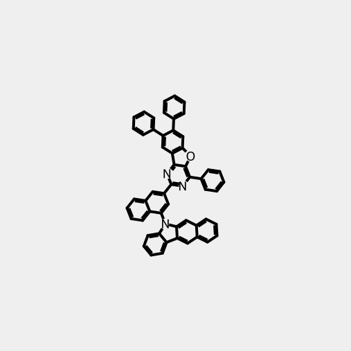 c1ccc(-c2cc3oc4c(-c5ccccc5)nc(-c5cc(-n6c7ccccc7c7cc8ccccc8cc76)c6ccccc6c5)nc4c3cc2-c2ccccc2)cc1